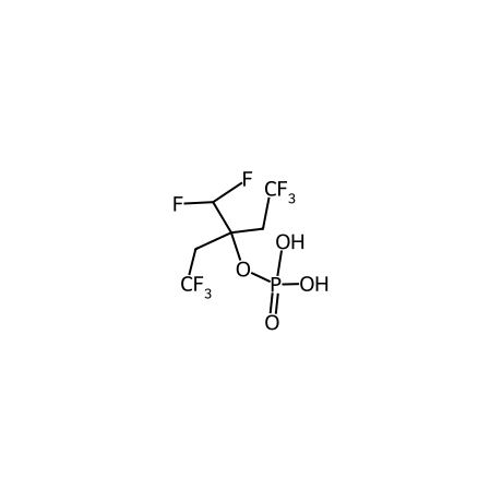 O=P(O)(O)OC(CC(F)(F)F)(CC(F)(F)F)C(F)F